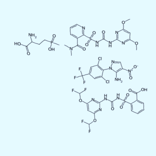 COc1cc(OC)nc(NC(=O)NS(=O)(=O)c2ncccc2C(=O)N(C)C)n1.CP(=O)(O)CCC(N)C(=O)O.Nc1c([N+](=O)[O-])cnn1-c1c(Cl)cc(C(F)(F)F)cc1Cl.O=C(Nc1nc(OC(F)F)cc(OC(F)F)n1)NS(=O)(=O)c1ccccc1C(=O)O